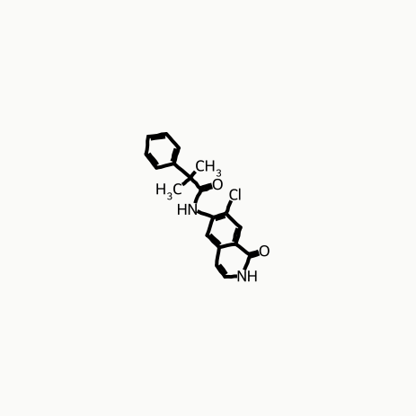 CC(C)(C(=O)Nc1cc2cc[nH]c(=O)c2cc1Cl)c1ccccc1